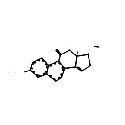 COc1ccc2c3c(ccc2c1)C1=CC[C@H](OC(=O)O)[C@@]1(C)CC3=O